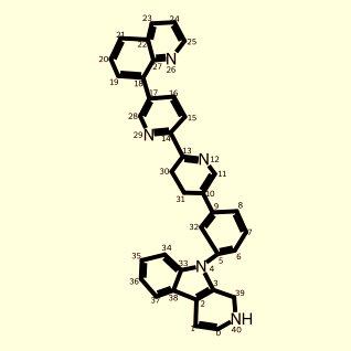 C1=Cc2c(n(-c3cccc(C4=CN=C(c5ccc(-c6cccc7cccnc67)cn5)CC4)c3)c3ccccc23)CN1